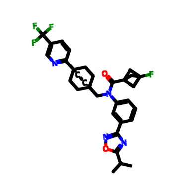 CC(C)c1nc(-c2cccc(N(CC34CCC(c5ccc(C(F)(F)F)cn5)(CC3)CC4)C(=O)C34CC(F)(C3)C4)c2)no1